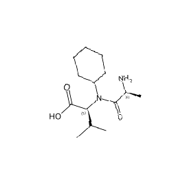 CC(C)[C@@H](C(=O)O)N(C(=O)[C@H](C)N)C1CCCCC1